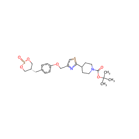 CC(C)(C)OC(=O)N1CCC(c2nc(COc3ccc(C[C@H]4CO[S@](=O)OC4)cc3)cs2)CC1